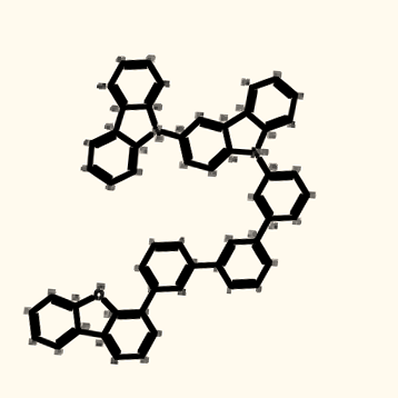 c1cc(-c2cccc(-c3cccc4c3oc3ccccc34)c2)cc(-c2cccc(-n3c4ccccc4c4cc(-n5c6ccccc6c6ccccc65)ccc43)c2)c1